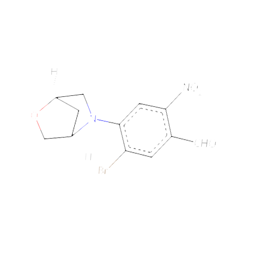 O=Cc1cc(Br)c(N2C[C@H]3C[C@@H]2CO3)cc1[N+](=O)[O-]